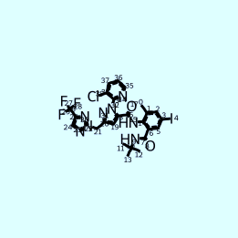 Cc1cc(I)cc(C(=O)NC(C)(C)C)c1NC(=O)c1cc(Cn2ncc(C(F)(F)F)n2)nn1-c1ncccc1Cl